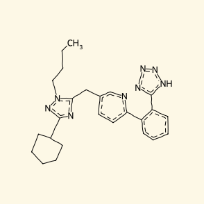 CCCCn1nc(C2CCCCC2)nc1Cc1ccc(-c2ccccc2-c2nnn[nH]2)nc1